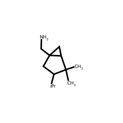 CC(C)C1CC2(CN)CC2C1(C)C